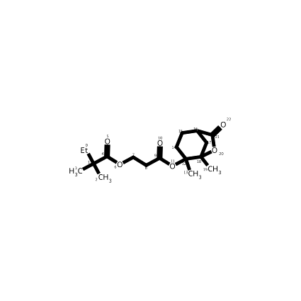 CCC(C)(C)C(=O)OCCC(=O)OC1(C)CCC2CC1(C)OC2=O